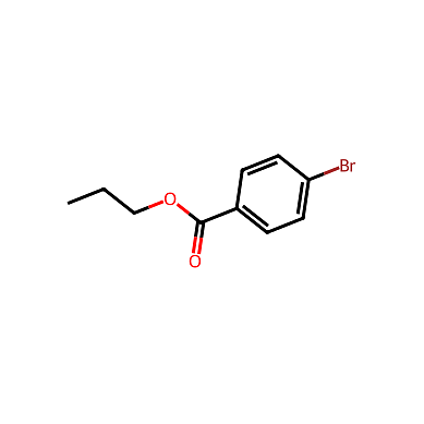 CCCOC(=O)c1ccc(Br)cc1